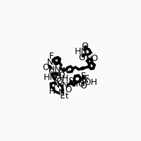 CCN1CC[C@H]2CC[C@@H](C(=O)N[C@@H](CCC(N)=O)C(=O)N[C@@H](Cc3ccc(F)cc3)C(=O)N3CCC(CCC#Cc4cccc5c4CN(C4CCC(=O)NC4=O)C5=O)CC3)N2C(=O)[C@@H](NC(=O)c2cc3cc(C(F)(F)P(=O)(O)O)ccc3s2)C1